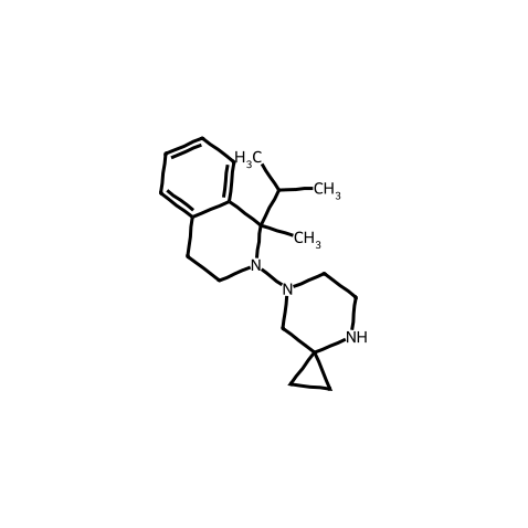 CC(C)C1(C)c2ccccc2CCN1N1CCNC2(CC2)C1